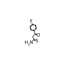 NC(=S)CC(=O)c1ccc(F)cc1